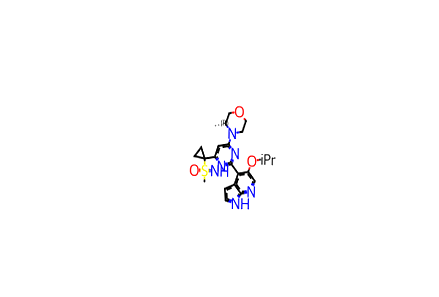 CC(C)Oc1cnc2[nH]ccc2c1-c1nc(N2CCOC[C@H]2C)cc(C2(S(C)(=N)=O)CC2)n1